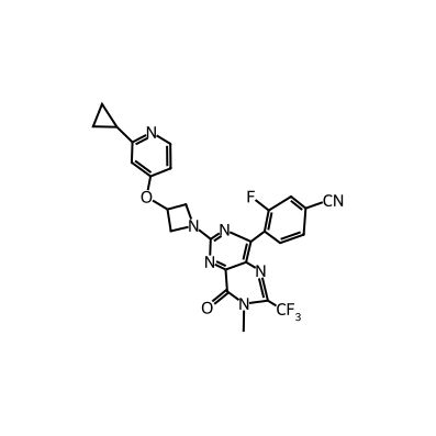 Cn1c(C(F)(F)F)nc2c(-c3ccc(C#N)cc3F)nc(N3CC(Oc4ccnc(C5CC5)c4)C3)nc2c1=O